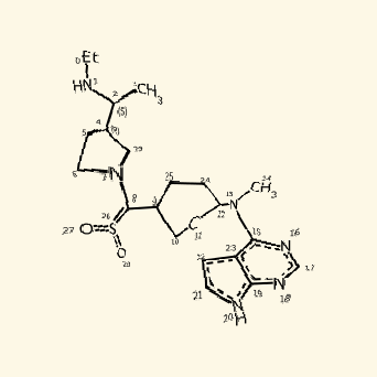 CCN[C@@H](C)[C@@H]1CCN(C(C2CCC(N(C)c3ncnc4[nH]ccc34)CC2)=S(=O)=O)C1